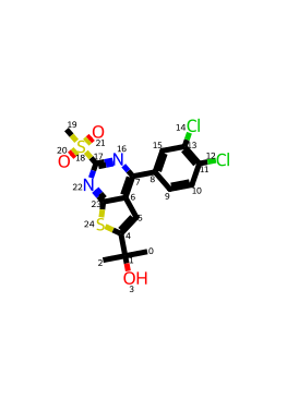 CC(C)(O)c1cc2c(-c3ccc(Cl)c(Cl)c3)nc(S(C)(=O)=O)nc2s1